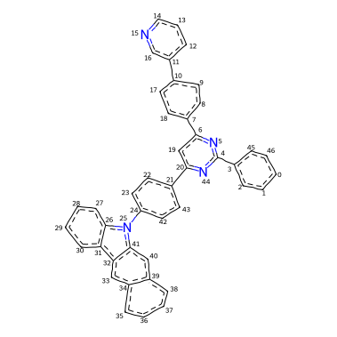 c1ccc(-c2nc(-c3ccc(-c4cccnc4)cc3)cc(-c3ccc(-n4c5ccccc5c5cc6ccccc6cc54)cc3)n2)cc1